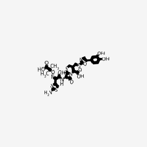 CC(C)(O/N=C(\C(=O)N[C@@H]1C(=O)N2C(C(=O)O)=C(CSc3ncc(-c4ccc(O)c(O)c4)o3)CS[C@H]12)c1csc(N)n1)C(=O)O